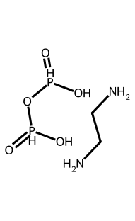 NCCN.O=[PH](O)O[PH](=O)O